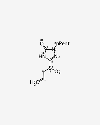 C=CC[S+]([O-])c1nn(CCCCC)c(=O)[nH]1